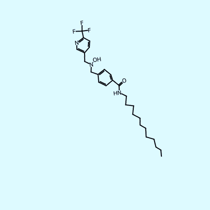 CCCCCCCCCCCCNC(=O)c1ccc(CN(O)Cc2ccc(C(F)(F)F)nc2)cc1